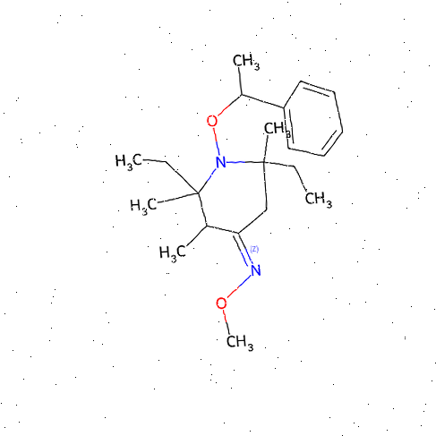 CCC1(C)C/C(=N/OC)C(C)C(C)(CC)N1OC(C)c1ccccc1